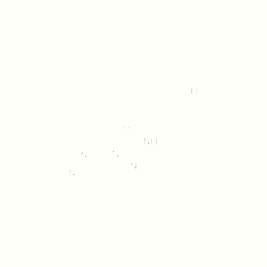 Cn1cncc1-c1ccnc(C(=O)NC2CCC(CO)CC2)n1